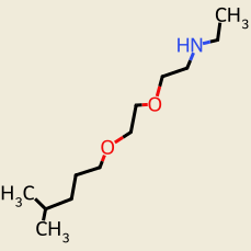 CCNCCOCCOCCCC(C)C